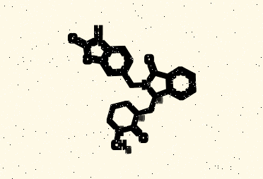 CN1CCC[C@@H](C[C@@H]2c3ccccc3C(=O)N2Cc2ccc3[nH]c(=O)oc3c2)C1=O